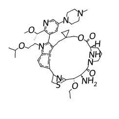 CCO[C@@H]1C2=NC(CS2)c2ccc3c(c2)c(c(-c2cc(N4CCN(C)CC4)cnc2[C@H](C)OC)n3CCOC(C)C)CC2(CC2)COC(=O)[C@@H]2CCCN(N2)C(=O)[C@H]1N